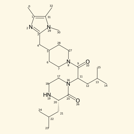 Cc1nc(CC2CCN(C(=O)C(CC(C)C)N3CCN[C@@H](CC(C)C)C3=O)CC2)n(C)c1C